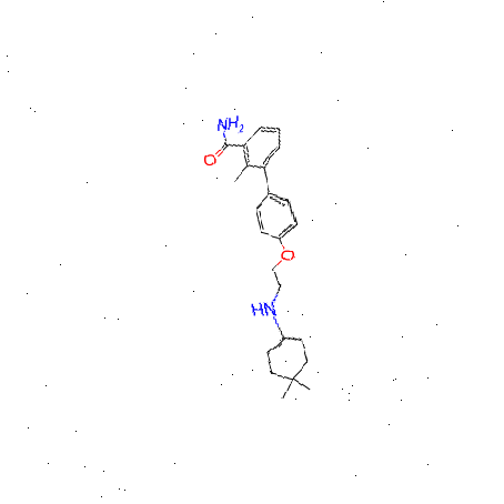 Cc1c(C(N)=O)cccc1-c1ccc(OCCNC2CCC(C)(C)CC2)cc1